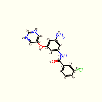 Nc1cc(NC(=O)c2cccc(Cl)c2)cc(Oc2cncnc2)c1